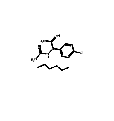 CCCCCC.N=C(N)NN(C(=N)N)c1ccc(Cl)cc1